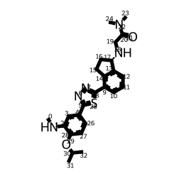 CNc1cc(-c2nnc(-c3cccc4c3CC[C@@H]4NCC(=O)N(C)C)s2)ccc1OC(C)C